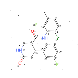 Cc1ccc(Cl)c(NC(=O)C2=CNC(=O)CC2c2cccc(F)c2)c1F